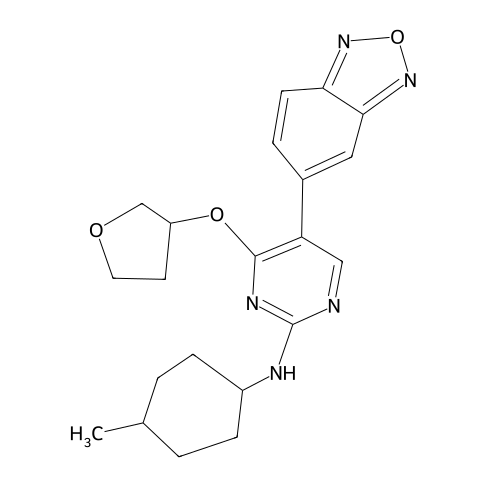 CC1CCC(Nc2ncc(-c3ccc4nonc4c3)c(OC3CCOC3)n2)CC1